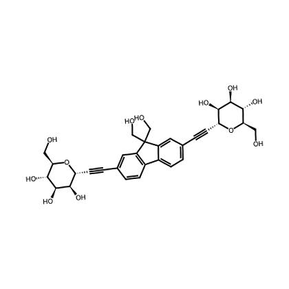 OC[C@H]1O[C@H](C#Cc2ccc3c(c2)C(CO)(CO)c2cc(C#C[C@H]4O[C@H](CO)[C@@H](O)[C@H](O)[C@@H]4O)ccc2-3)[C@@H](O)[C@@H](O)[C@@H]1O